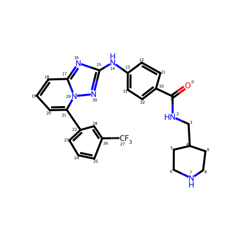 O=C(NCC1CCNCC1)c1ccc(Nc2nc3cccc(-c4cccc(C(F)(F)F)c4)n3n2)cc1